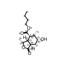 CCCCOC(=O)[C@H]1[C@H](C)[C@H](O)C[C@H]2C(=O)O[C@H](C)[C@@H]12